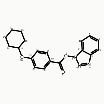 O=C(On1nnc2ccccc21)c1ccc(OC2CCCCC2)cc1